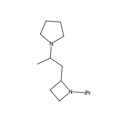 CC(CC1CCN1C(C)C)N1CCCC1